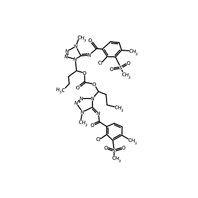 CCCC(OC(=O)OC(CCC)n1nnn(C)c1=NC(=O)c1ccc(C)c(S(C)(=O)=O)c1Cl)n1nnn(C)c1=NC(=O)c1ccc(C)c(S(C)(=O)=O)c1Cl